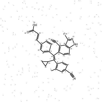 Cc1cc(C#N)ccc1C(=C(c1ccc(C=CC(=O)O)cc1)c1ccc2[nH]nc(F)c2c1C#N)C1CC1